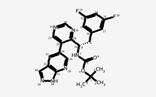 CC(C)(C)OC(=O)N[C@@H](Cc1cc(F)cc(F)c1)c1ncncc1-c1cnc2[nH]ncc2c1